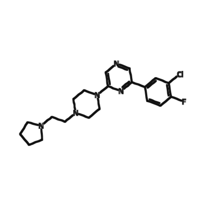 Fc1ccc(-c2cncc(N3CCN(CCN4CCCC4)CC3)n2)cc1Cl